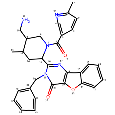 Cc1ccc(C(=O)N2CC(CN)C(C)CC2c2nc3c(oc4ccccc43)c(=O)n2Cc2ccccc2)cn1